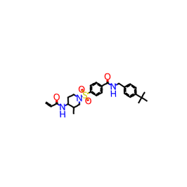 C=CC(=O)NC1CCN(S(=O)(=O)c2ccc(C(=O)NCc3ccc(C(C)(C)C)cc3)cc2)CC1C